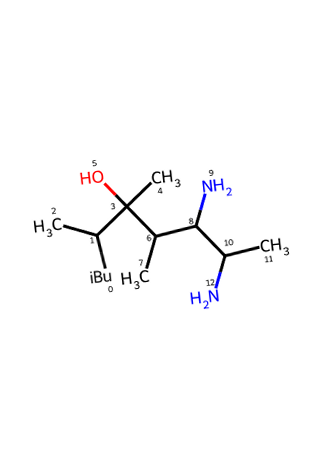 CCC(C)C(C)C(C)(O)C(C)C(N)C(C)N